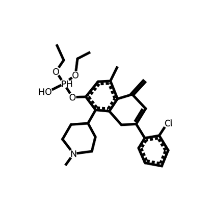 C=C1C=C(c2ccccc2Cl)Cc2c1c(C)cc(O[PH](O)(OCC)OCC)c2C1CCN(C)CC1